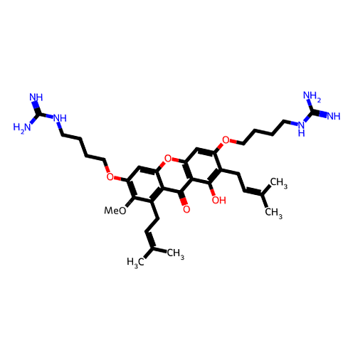 COc1c(OCCCCNC(=N)N)cc2oc3cc(OCCCCNC(=N)N)c(CC=C(C)C)c(O)c3c(=O)c2c1CC=C(C)C